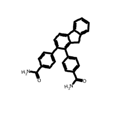 NC(=O)c1ccc(-c2ccc3c(c2-c2ccc(C(N)=O)cc2)Cc2ccccc2-3)cc1